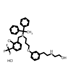 CC(c1ccccc1)(c1ccccc1)N(CCCOc1cccc(CCNCCO)c1)Cc1cccc(C(F)(F)F)c1Cl.Cl